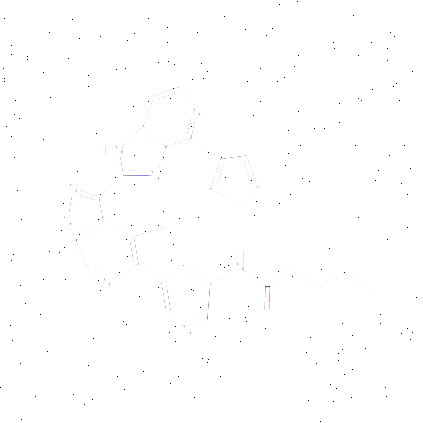 CCCCC(=O)Nc1cncc(-c2ncc3[nH]nc(-c4nc5c(-c6ccoc6)nccc5[nH]4)c3c2F)c1